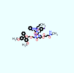 C=CCCC(=O)N[C@@H](Cc1ccccc1)C(=O)N[C@@H](Cc1cccc(I)c1)C(=O)N1C[C@H](OC(=O)CCC(=O)NCC)C[C@H]1C(=O)NCCOCCOC(c1ccccc1)(c1ccc(OC)cc1)c1ccc(OC)cc1